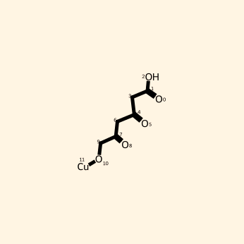 O=C(O)CC(=O)CC(=O)C[O][Cu]